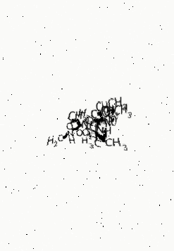 C=CCNC(=O)C(=O)C(CCC)NC(=O)[C@@H]1[C@@H]2C(CN1C(=O)[C@@H](NS(=O)(=O)C(C)C)C(C)(C)C)C2(C)C